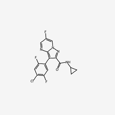 O=C(NC1CC1)c1nn2cc(F)cnc2c1-c1cc(F)c(Cl)cc1F